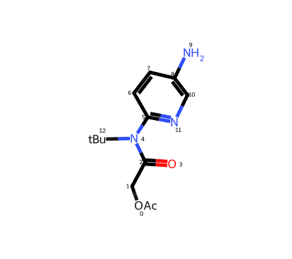 CC(=O)OCC(=O)N(c1ccc(N)cn1)C(C)(C)C